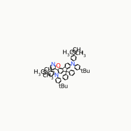 CC(C)(C)c1ccc(N(c2ccc([Si](C)(C)C)cc2)c2ccc3c(c2)C(c2ccccc2)(c2ccccc2)c2cc(N(c4ccc(C(C)(C)C)cc4)c4ccc([Si](C)(C)C)cc4)c4c(oc5ncccc54)c2-3)cc1